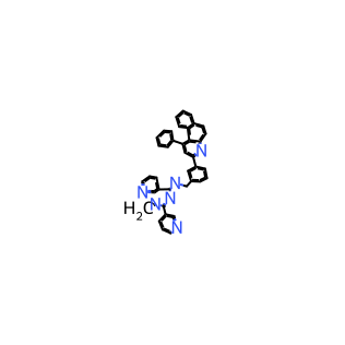 C=N/C(=N\C(=N/Cc1cccc(-c2cc(-c3ccccc3)c3c(ccc4ccccc43)n2)c1)c1cccnc1)c1cccnc1